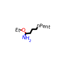 [CH2]CCCCCCCC(N)OCC